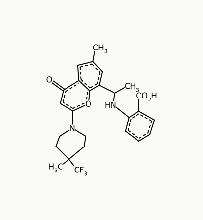 Cc1cc(C(C)Nc2ccccc2C(=O)O)c2oc(N3CCC(C)(C(F)(F)F)CC3)cc(=O)c2c1